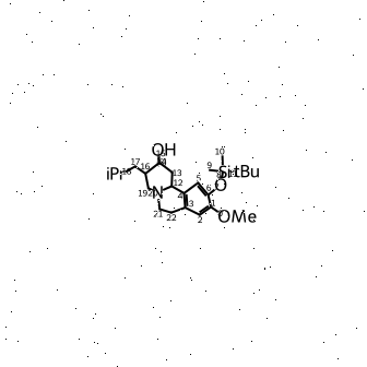 COc1cc2c(cc1O[Si](C)(C)C(C)(C)C)C1C[C@H](O)C(CC(C)C)CN1CC2